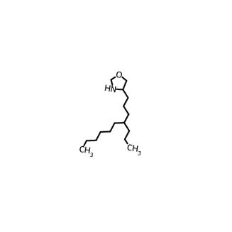 CCCCCCC(CCC)CCCC1COCN1